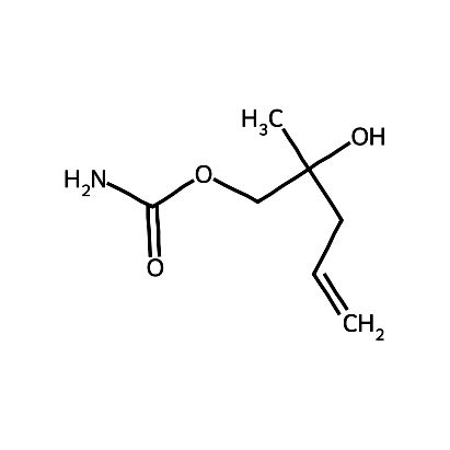 C=CCC(C)(O)COC(N)=O